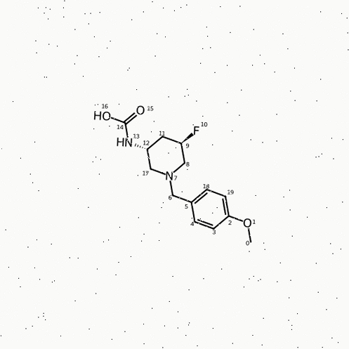 COc1ccc(CN2C[C@H](F)C[C@@H](NC(=O)O)C2)cc1